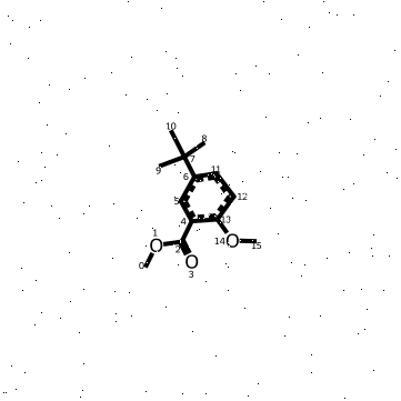 COC(=O)c1cc(C(C)(C)C)ccc1OC